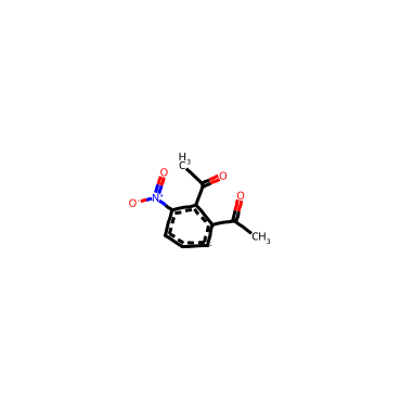 CC(=O)c1[c]ccc([N+](=O)[O-])c1C(C)=O